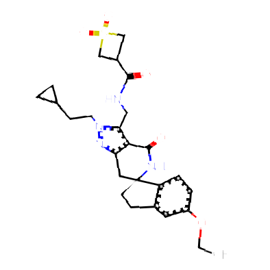 O=C1N[C@@]2(CCc3cc(OCC(F)(F)F)ccc32)Cc2nn(CCC3CC3)c(CNC(=O)C3CS(=O)(=O)C3)c21